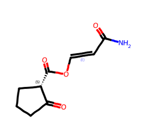 NC(=O)/C=C/OC(=O)[C@H]1CCCC1=O